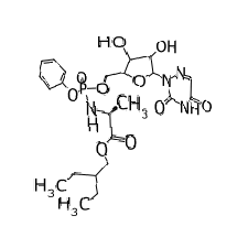 CCC(CC)COC(=O)[C@H](C)NP(=O)(OCC1OC(n2ncc(=O)[nH]c2=O)C(O)C1O)Oc1ccccc1